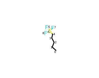 CCCCCS(F)(F)F